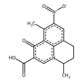 Cc1c([N+](=O)[O-])cc2c3c1c(=O)c(C(=O)O)cn3C(C)CC2